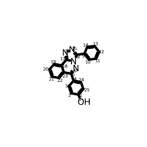 Oc1ccc(-c2nn3c(-c4ccccc4)nnc3c3ccccc23)cc1